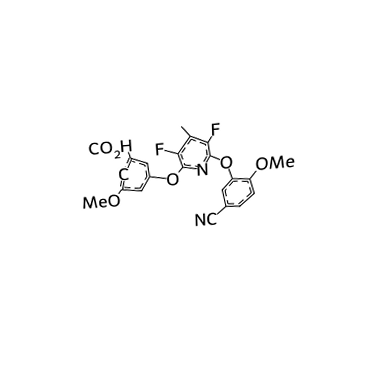 COc1cc(Oc2nc(Oc3cc(C#N)ccc3OC)c(F)c(C)c2F)cc(C(=O)O)c1